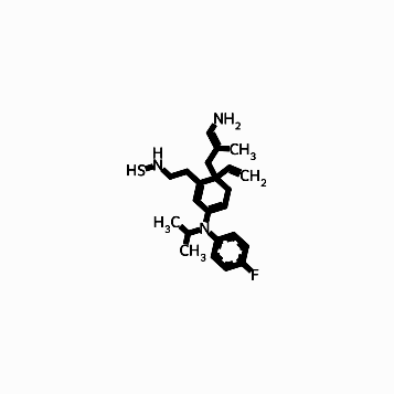 C=CC1(C/C(C)=C/N)CC=C(N(c2ccc(F)cc2)C(C)C)C=C1CCNS